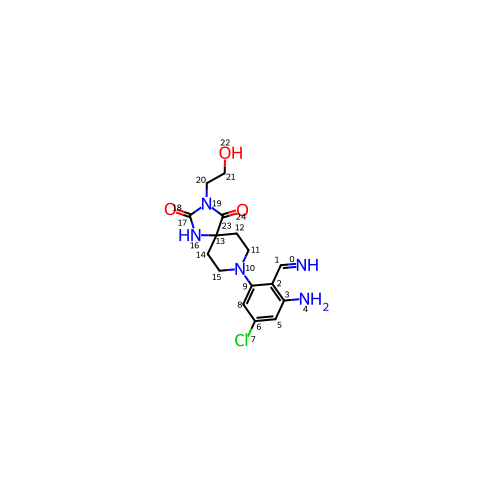 N=Cc1c(N)cc(Cl)cc1N1CCC2(CC1)NC(=O)N(CCO)C2=O